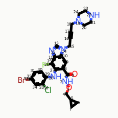 O=C(NOCC1CC1)c1cc2c(ncn2CC#CCN2CCNCC2)c(F)c1Nc1ccc(Br)cc1Cl